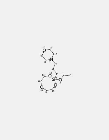 CCO[Si]1(CCCN2CCOCC2)OCCOCCO1